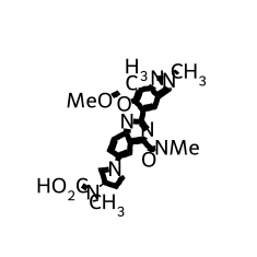 CNC(=O)c1nc(-c2cc3cn(C)nc3c(C)c2OCOC)nc2ccc(N3CC[C@H](N(C)C(=O)O)C3)cc12